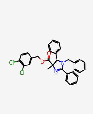 CC1(C(=O)OCc2ccc(Cl)c(Cl)c2)N=C(c2ccccc2)N(Cc2ccccc2)C1c1ccccc1